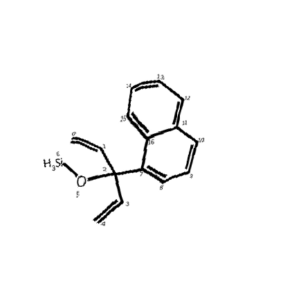 C=CC(C=C)(O[SiH3])c1cccc2ccccc12